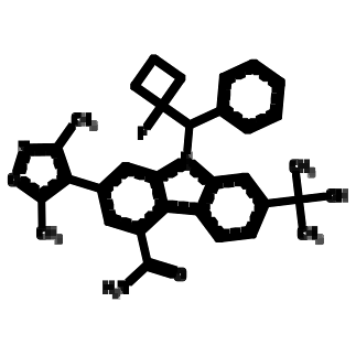 Cc1noc(C)c1-c1cc(C(N)=O)c2c3ccc(C(C)(C)O)cc3n(C(c3ccccc3)C3(F)CCC3)c2c1